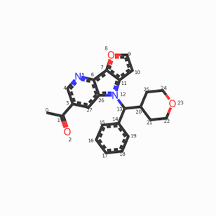 CC(=O)c1cnc2c3occc3n(C(c3ccccc3)C3CCOCC3)c2c1